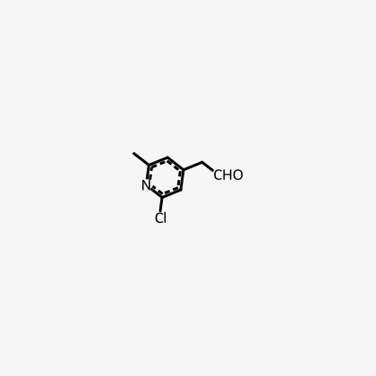 Cc1cc(CC=O)cc(Cl)n1